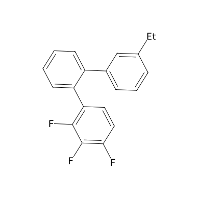 CCc1cccc(-c2ccccc2-c2ccc(F)c(F)c2F)c1